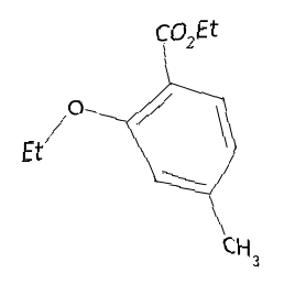 CCOC(=O)c1ccc(C)cc1OCC